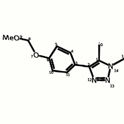 [CH2]c1c(-c2ccc(OCOC)cc2)nnn1C